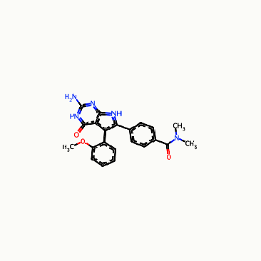 COc1ccccc1-c1c(-c2ccc(C(=O)N(C)C)cc2)[nH]c2nc(N)[nH]c(=O)c12